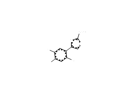 CNc1nc(-c2cc(F)c(F)cc2Br)cs1